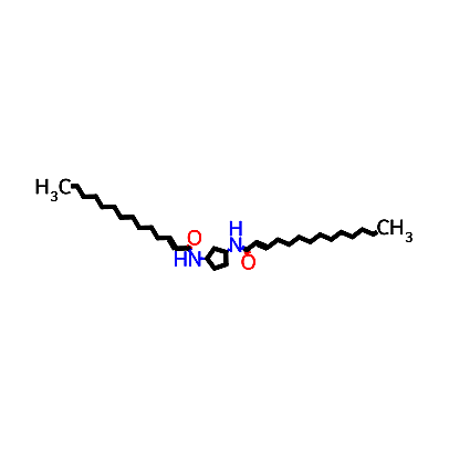 CCCCCCCCCCC/C=C/C(=O)N[C@@H]1CC[C@H](NC(=O)/C=C/CCCCCCCCCCC)C1